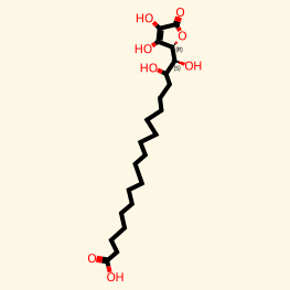 O=C(O)CCCCCCCCCCCCCCCC(O)[C@H](O)[C@H]1OC(=O)C(O)=C1O